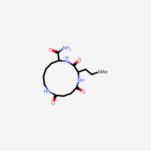 CSCCC1NC(=O)CCC(=O)NCCCCC(C(N)=O)NC1=O